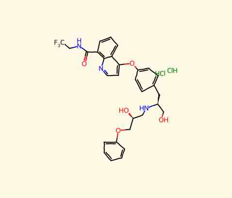 Cl.Cl.O=C(NCC(F)(F)F)c1cccc2c(Oc3ccc(C[C@@H](CO)NC[C@H](O)COc4ccccc4)cc3)ccnc12